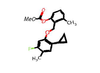 COC(=O)Oc1cccc(C)c1COc1cc(F)c(C)cc1C1CC1